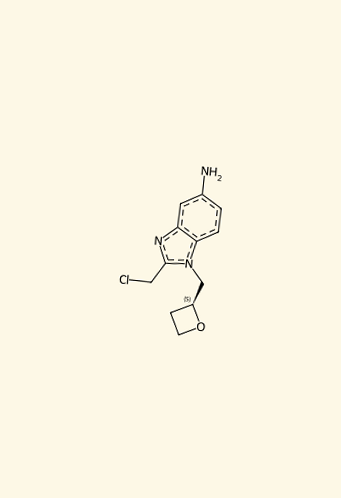 Nc1ccc2c(c1)nc(CCl)n2C[C@@H]1CCO1